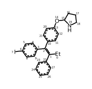 CCC(=C(c1ccc(I)cc1)c1ccc(OC2CCCN2)cc1)c1ccccc1